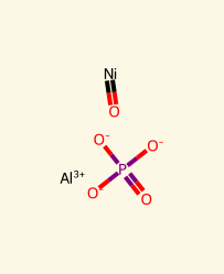 O=P([O-])([O-])[O-].[Al+3].[O]=[Ni]